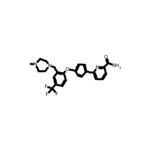 CN1CCN(Cc2cc(C(F)(F)F)ccc2Oc2ccc(-c3cccc(C(N)=O)n3)cc2)CC1